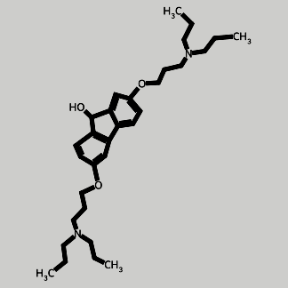 CCCN(CCC)CCCOc1ccc2c(c1)-c1ccc(OCCCN(CCC)CCC)cc1C2O